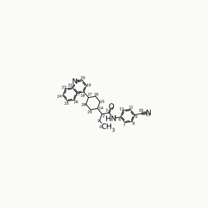 CCC(C(=O)Nc1ccc(C#N)cc1)C1CCC(c2ccnc3ccccc23)CC1